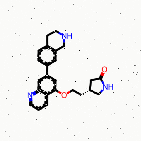 O=C1C[C@@H](CCOc2cc(-c3ccc4c(c3)CNCC4)cc3ncccc23)CN1